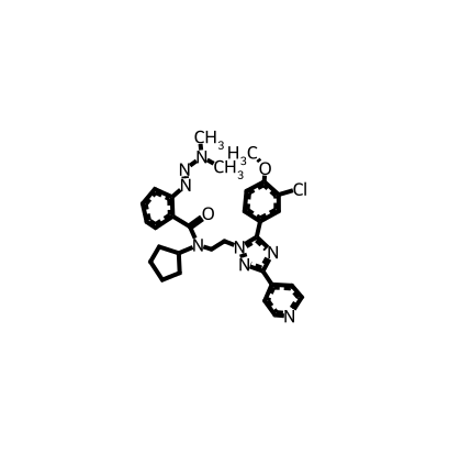 COc1ccc(-c2nc(-c3ccncc3)nn2CCN(C(=O)c2ccccc2N=NN(C)C)C2CCCC2)cc1Cl